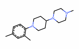 Cc1ccc(N2CCC(N3CCN(C)CC3)CC2)c(C)c1